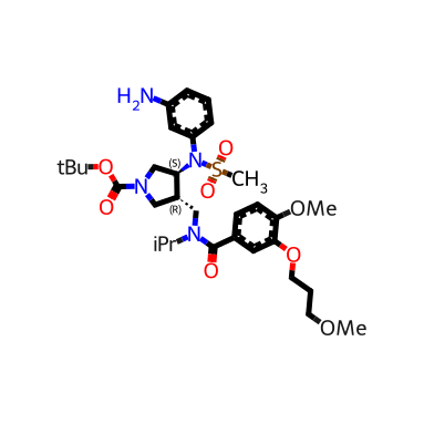 COCCCOc1cc(C(=O)N(C[C@@H]2CN(C(=O)OC(C)(C)C)C[C@H]2N(c2cccc(N)c2)S(C)(=O)=O)C(C)C)ccc1OC